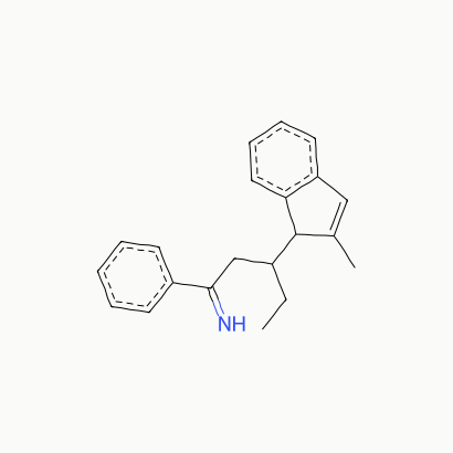 CCC(CC(=N)c1ccccc1)C1C(C)=Cc2ccccc21